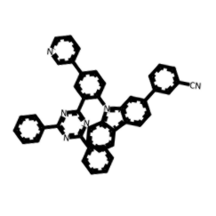 N#Cc1cccc(-c2ccc3c4ccccc4n(-c4ccc(-c5cccnc5)cc4-c4nc(-c5ccccc5)nc(-c5ccccc5)n4)c3c2)c1